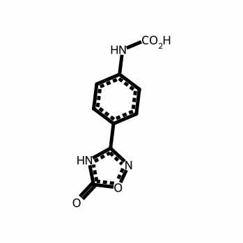 O=C(O)Nc1ccc(-c2noc(=O)[nH]2)cc1